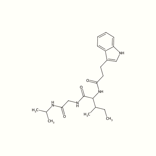 CCC(C)C(NC(=O)CCc1c[nH]c2ccccc12)C(=O)NCC(=O)NC(C)C